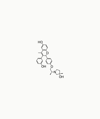 CC1=C(c2cccc(O)c2)C(c2ccc(OC[C@H](C)N3CC[C@](C)(O)C3)cc2)Oc2ccc(O)cc21